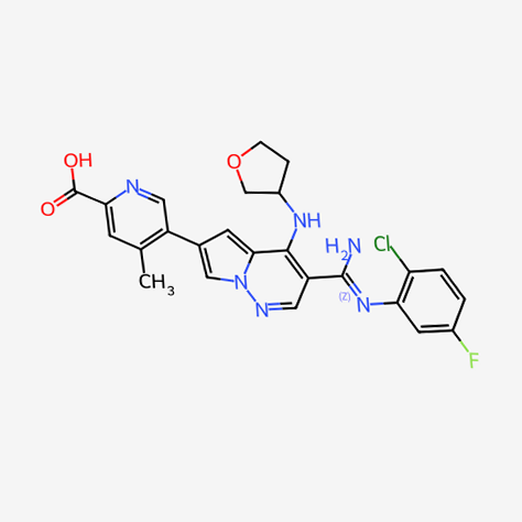 Cc1cc(C(=O)O)ncc1-c1cc2c(NC3CCOC3)c(/C(N)=N/c3cc(F)ccc3Cl)cnn2c1